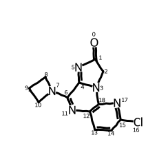 O=C1CN2C(=N1)C(N1C[CH]C1)=Nc1ccc(Cl)nc12